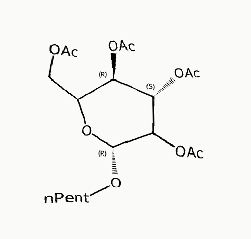 CCCCCO[C@@H]1OC(COC(C)=O)[C@@H](OC(C)=O)[C@H](OC(C)=O)C1OC(C)=O